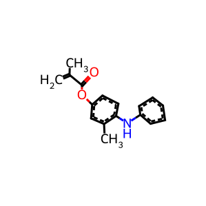 C=C(C)C(=O)Oc1ccc(Nc2ccccc2)c(C)c1